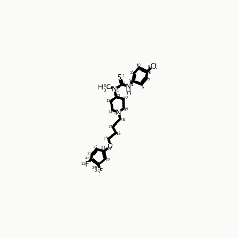 CN(C(=S)Nc1ccc(Cl)cc1)C1CCN(CCCCOc2ccc(F)c(F)c2)CC1